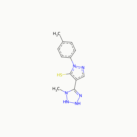 Cc1ccc(-n2ncc(C3=NNNN3C)c2S)cc1